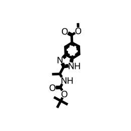 COC(=O)c1ccc2[nH]c(C(C)NC(=O)OC(C)(C)C)nc2c1